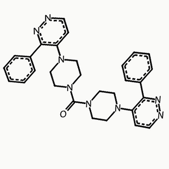 O=C(N1CCN(c2ccnnc2-c2ccccc2)CC1)N1CCN(c2ccnnc2-c2ccccc2)CC1